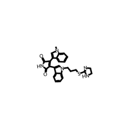 Cn1cc(C2=C(c3cn(CCCSC4=NCCN4)c4ccccc34)C(=O)NC2=O)c2ccccc21